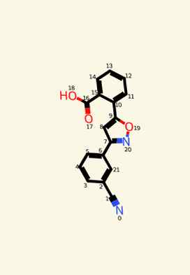 N#Cc1cccc(-c2cc(-c3ccccc3C(=O)O)on2)c1